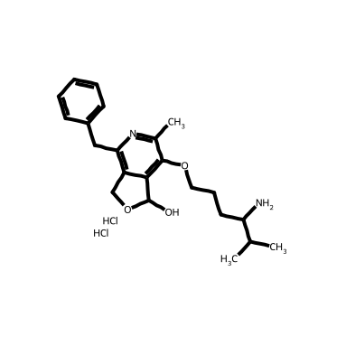 Cc1nc(Cc2ccccc2)c2c(c1OCCCC(N)C(C)C)C(O)OC2.Cl.Cl